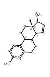 CC(=O)Oc1ccc2c(c1)CCC1C2CC[C@]2(C)C(OC(C)=O)C=CC12